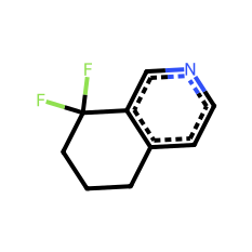 FC1(F)CCCc2ccncc21